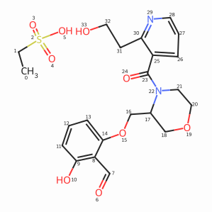 CCS(=O)(=O)O.O=Cc1c(O)cccc1OCC1COCCN1C(=O)c1cccnc1CCO